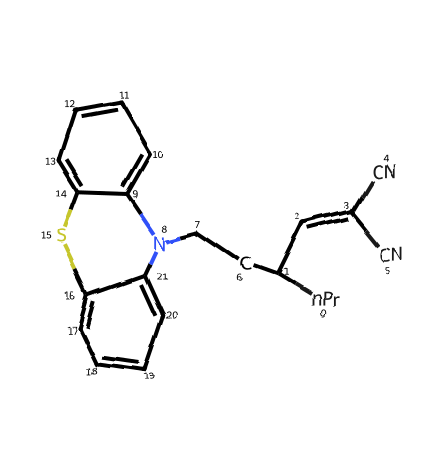 CCCC(C=C(C#N)C#N)CCN1c2ccccc2Sc2ccccc21